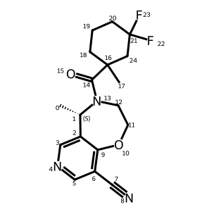 C[C@H]1c2cncc(C#N)c2OCCN1C(=O)C1(C)CCCC(F)(F)C1